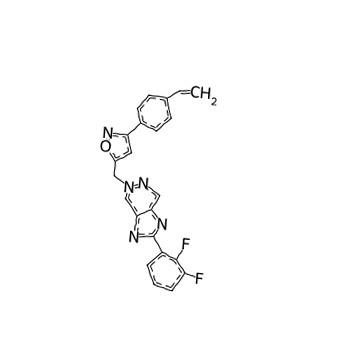 C=Cc1ccc(-c2cc(Cn3cc4nc(-c5cccc(F)c5F)nc-4cn3)on2)cc1